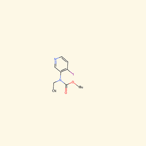 CC(C)(C)OC(=O)N(CC#N)c1cnccc1I